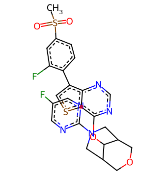 CS(=O)(=O)c1ccc(-c2csc3c(OC4C5COCC4CN(c4ncc(F)cn4)C5)ncnc23)c(F)c1